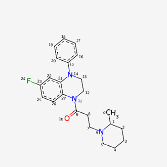 CC1CCCCN1CCC(=O)N1CCN(c2ccccc2)c2cc(F)ccc21